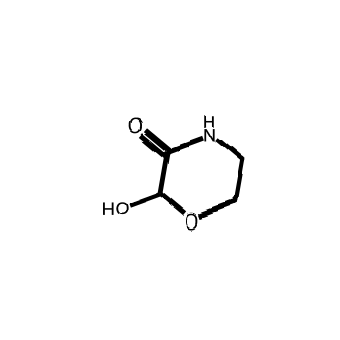 O=C1NCCOC1O